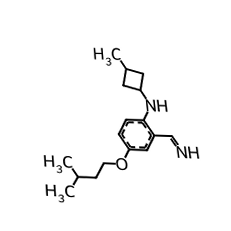 CC(C)CCOc1ccc(NC2CC(C)C2)c(C=N)c1